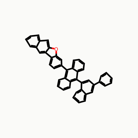 c1ccc(-c2cc(-c3c4ccccc4c(-c4ccc5c(c4)oc4cc6ccccc6cc45)c4ccccc34)c3ccccc3c2)cc1